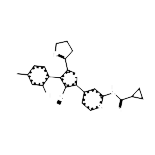 [C-]#[N+]c1c(-c2ccnc(NC(=O)C3CC3)c2)sc(C2=NCCC2)c1-c1ccc(Cl)cc1Cl